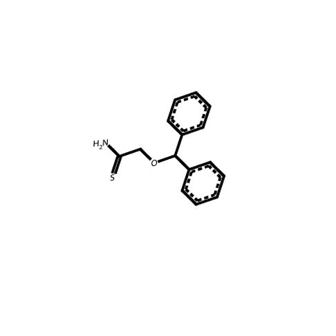 NC(=S)COC(c1ccccc1)c1ccccc1